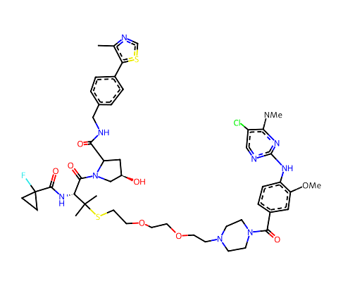 CNc1nc(Nc2ccc(C(=O)N3CCN(CCOCCOCCSC(C)(C)[C@H](NC(=O)C4(F)CC4)C(=O)N4C[C@H](O)CC4C(=O)NCc4ccc(-c5scnc5C)cc4)CC3)cc2OC)ncc1Cl